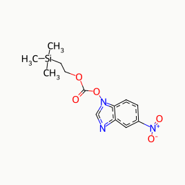 C[Si](C)(C)CCOC(=O)On1cnc2cc([N+](=O)[O-])ccc21